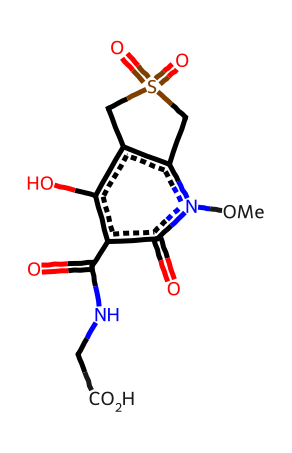 COn1c2c(c(O)c(C(=O)NCC(=O)O)c1=O)CS(=O)(=O)C2